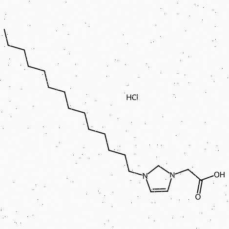 CCCCCCCCCCCCCCN1C=CN(CC(=O)O)C1.Cl